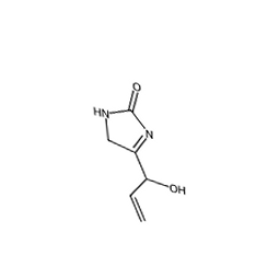 C=CC(O)C1=NC(=O)NC1